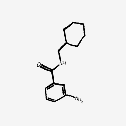 Nc1cccc(C(=O)NCC2CCCCC2)c1